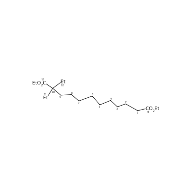 CCOC(=O)CCCCCCCCCC(CC)(CC)C(=O)OCC